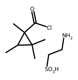 CC1C(C)(C)C1(C)C(=O)Cl.NCCS(=O)(=O)O